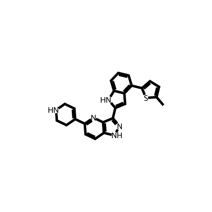 Cc1ccc(-c2cccc3[nH]c(-c4n[nH]c5ccc(C6=CCNCC6)nc45)cc23)s1